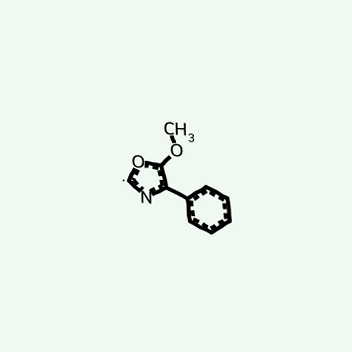 COc1o[c]nc1-c1ccccc1